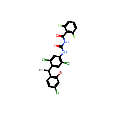 N#CC(c1cc(Cl)c(NC(=O)NC(=O)c2c(F)cccc2F)cc1Cl)c1ccc(Cl)cc1Br